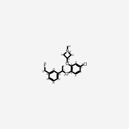 CC(Oc1ccc(Cl)cc1OC1CN(C)C1)c1cccc(CF)c1